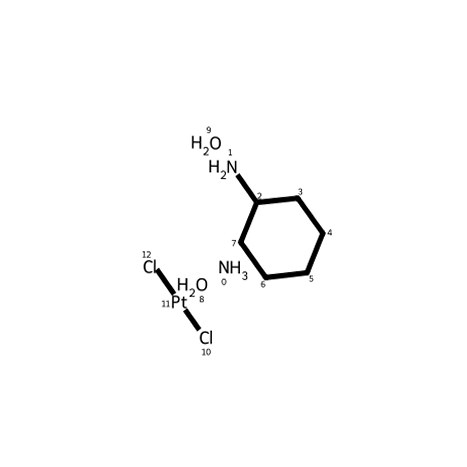 N.NC1CCCCC1.O.O.[Cl][Pt][Cl]